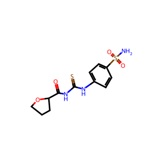 NS(=O)(=O)c1ccc(NC(=S)NC(=O)C2CCCO2)cc1